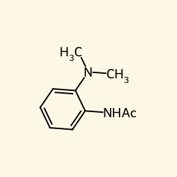 CC(=O)Nc1ccccc1N(C)C